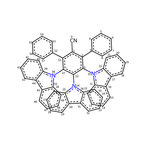 N#Cc1c(-c2ccccc2)c(-n2c3ccccc3c3ccccc32)c(-n2c3ccccc3c3ccccc32)c(-n2c3ccccc3c3ccccc32)c1-c1ccccc1